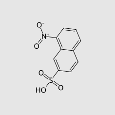 O=[N+]([O-])c1cccc2ccc(S(=O)(=O)O)cc12